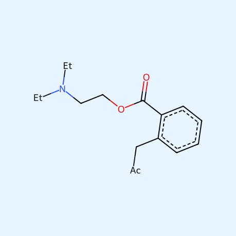 CCN(CC)CCOC(=O)c1ccccc1CC(C)=O